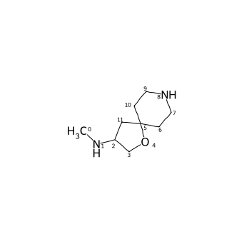 CNC1COC2(CCNCC2)C1